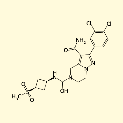 CS(=O)(=O)[C@H]1C[C@@H](NC(O)N2CCn3nc(-c4ccc(Cl)c(Cl)c4)c(C(N)=O)c3C2)C1